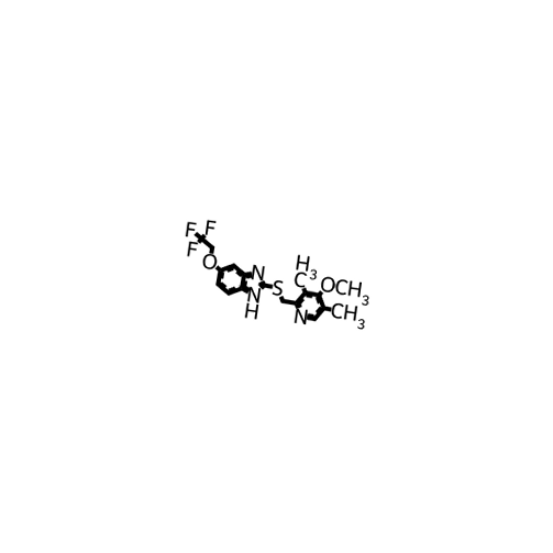 COc1c(C)cnc(CSc2nc3cc(OCC(F)(F)F)ccc3[nH]2)c1C